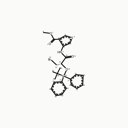 COC(=O)c1cscc1NC(=O)[C@@H](CBr)O[Si](c1ccccc1)(c1ccccc1)C(C)(C)C